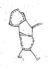 O=C1c2ccccc2-c2cc([N+](=O)[O-])c(O)cc21